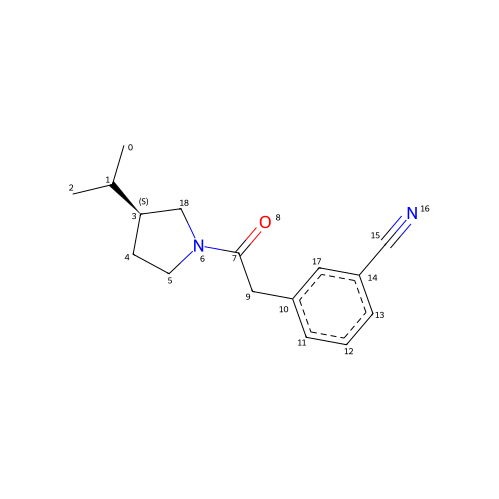 CC(C)[C@@H]1CCN(C(=O)Cc2cccc(C#N)c2)C1